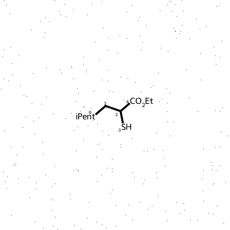 CCCC(C)CC(S)C(=O)OCC